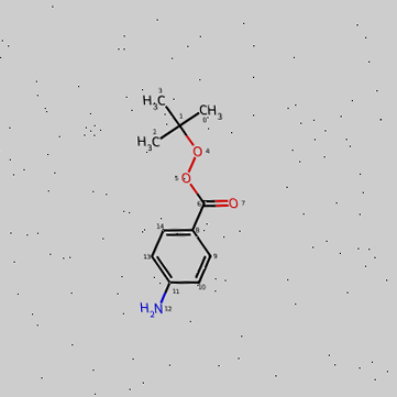 CC(C)(C)OOC(=O)c1ccc(N)cc1